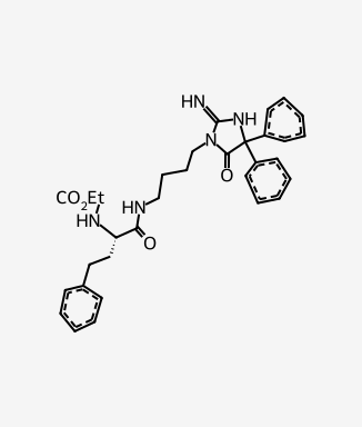 CCOC(=O)N[C@@H](CCc1ccccc1)C(=O)NCCCCN1C(=N)NC(c2ccccc2)(c2ccccc2)C1=O